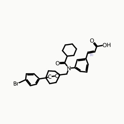 O=C(O)/C=C/c1cccc(N(CC23CCC(c4ccc(Br)cc4)(CC2)CC3)C(=O)C2CCCCC2)c1